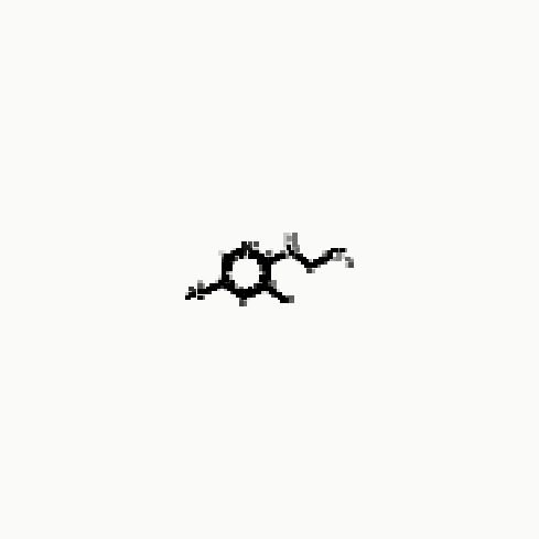 CC(=O)c1cnc(NCC(F)(F)F)c(C)c1